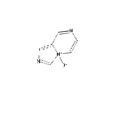 Br[N+]12C=CN=CC1=CN=C2